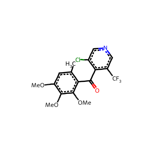 COc1cc(C)c(C(=O)c2c(Cl)cncc2C(F)(F)F)c(OC)c1OC